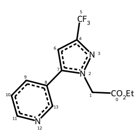 CCOC(=O)Cn1nc(C(F)(F)F)cc1-c1cccnc1